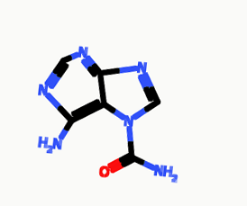 NC(=O)n1cnc2ncnc(N)c21